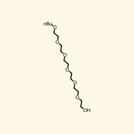 CCCCOCCOCCOCCOCCOCCOCCO